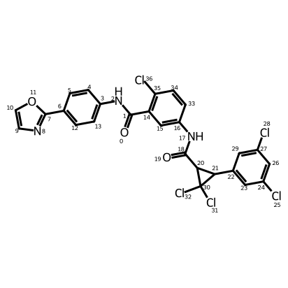 O=C(Nc1ccc(-c2ncco2)cc1)c1cc(NC(=O)C2C(c3cc(Cl)cc(Cl)c3)C2(Cl)Cl)ccc1Cl